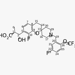 C[C@H](C(=O)O)[C@@H](O)c1ccc2c(c1F)OC1(CC2)CCN(Cc2cc(F)ccc2OC(F)(F)F)CC1